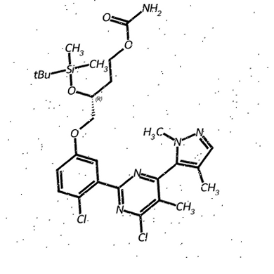 Cc1cnn(C)c1-c1nc(-c2cc(OC[C@@H](CCOC(N)=O)O[Si](C)(C)C(C)(C)C)ccc2Cl)nc(Cl)c1C